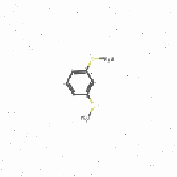 CCCCSc1c[c]cc(SCCCC)c1